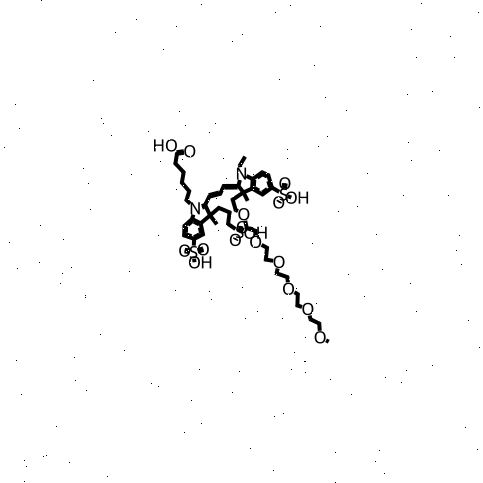 CCN1/C(=C/C=C/C2=[N+](CCCCCC(=O)O)c3ccc(S(=O)(=O)O)cc3C2(C)CCCS(=O)(=O)O)C(C)(CCOCCOCCOCCOCCOCCOC)c2cc(S(=O)(=O)O)ccc21